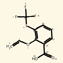 C=COc1c(SC(F)(F)F)cccc1C(=O)O